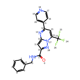 O=C(NCc1ccccc1)c1cc2nc(-c3ccncc3)cc(C(F)(F)F)n2n1